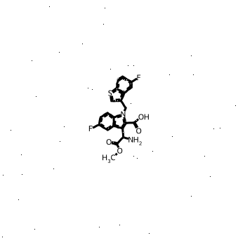 COC(=O)C(N)c1c(C(=O)O)n(Cc2csc3ccc(F)cc23)c2ccc(F)cc12